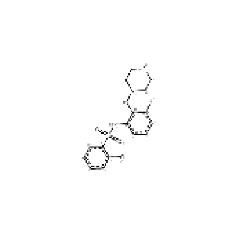 O=S(=O)(Nc1cccc(F)c1CN1CCSCC1)c1ccccc1Cl